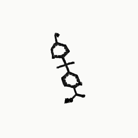 COC(=O)c1ccc(C(C)(C)c2ccc(C(C)C)cn2)cn1